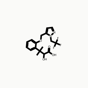 CC(C)(c1ccccc1OCc1ccnn1CC(F)(F)F)C(O)C(=O)O